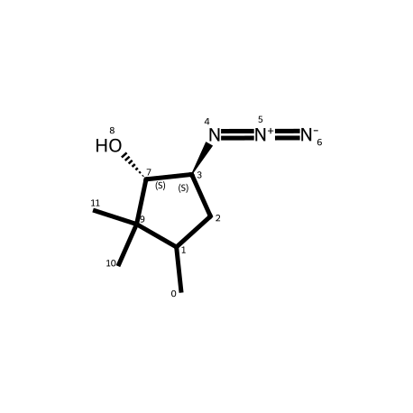 CC1C[C@H](N=[N+]=[N-])[C@@H](O)C1(C)C